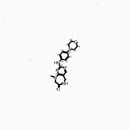 CN1CC(=O)NCc2cnc(Nc3ccc(N4CCOCC4)cc3)nc21